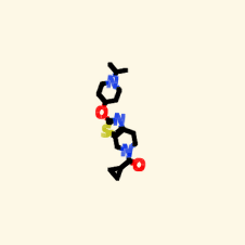 CC(C)N1CCC(Oc2nc3c(s2)CN(C(=O)C2CC2)CC3)CC1